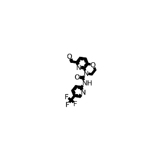 O=Cc1ccc2c(n1)N(C(=O)Nc1ccc(C(F)(F)F)cn1)CCO2